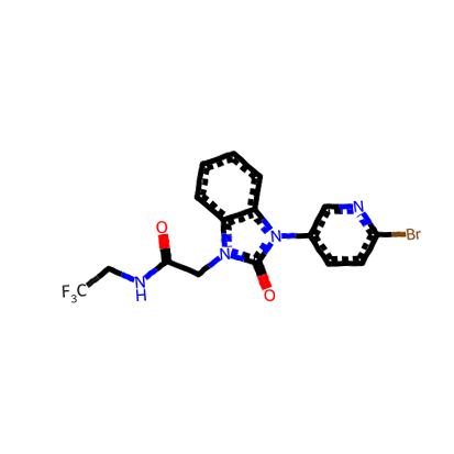 O=C(Cn1c(=O)n(-c2ccc(Br)nc2)c2ccccc21)NCC(F)(F)F